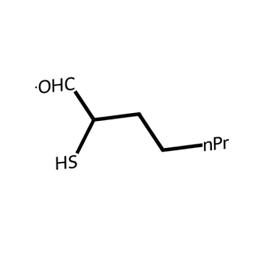 CCCCCC(S)[C]=O